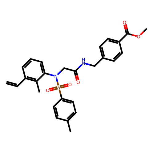 C=Cc1cccc(N(CC(=O)NCc2ccc(C(=O)OC)cc2)S(=O)(=O)c2ccc(C)cc2)c1C